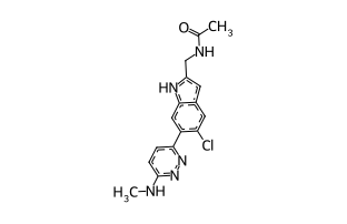 CNc1ccc(-c2cc3[nH]c(CNC(C)=O)cc3cc2Cl)nn1